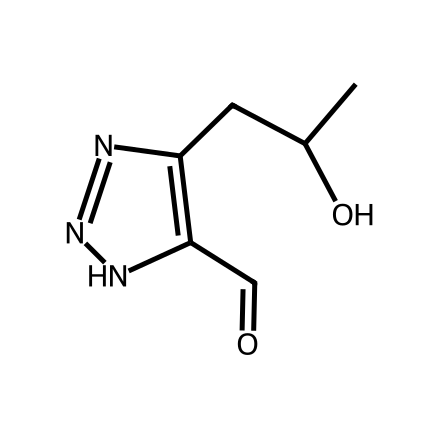 CC(O)Cc1nn[nH]c1C=O